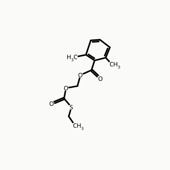 CCSC(=O)OCOC(=O)c1c(C)cccc1C